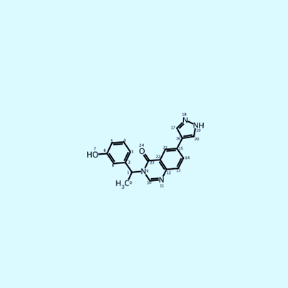 CC(c1cccc(O)c1)n1cnc2ccc(-c3cn[nH]c3)cc2c1=O